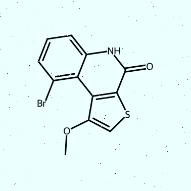 COc1csc2c(=O)[nH]c3cccc(Br)c3c12